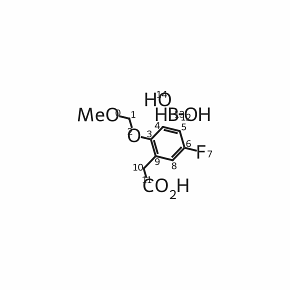 COCOc1ccc(F)cc1CC(=O)O.OBO